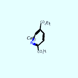 CCOC(=O)c1ccc(C(=O)O)nc1.[CaH2]